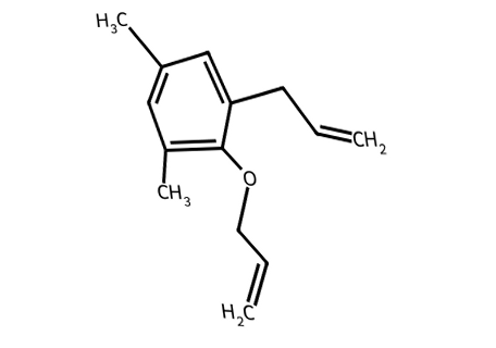 C=CCOc1c(C)cc(C)cc1CC=C